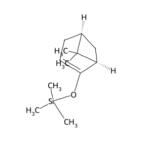 CC1(C)[C@H]2CC=C(O[Si](C)(C)C)[C@@H]1C2